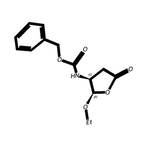 CCO[C@@H]1OC(=O)C[C@@H]1NC(=O)OCc1ccccc1